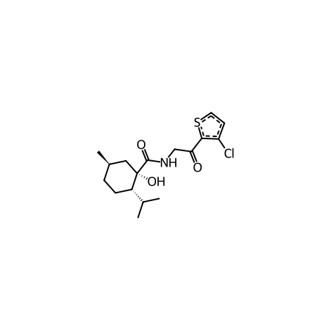 CC(C)[C@@H]1CC[C@@H](C)C[C@@]1(O)C(=O)NCC(=O)c1sccc1Cl